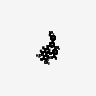 Cc1ccc(C(=O)O)c(Oc2nc(Oc3cccc(-c4cccc(CN)c4)c3)c(F)c(C(=O)N(C)CC(=O)N(C)C)c2F)c1